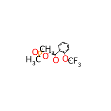 CP(C)(=O)OCC(=O)c1ccccc1OC(F)(F)F